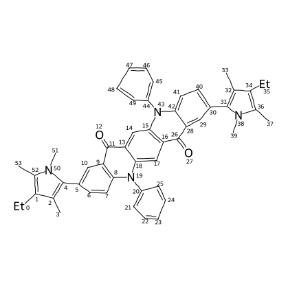 CCc1c(C)c(-c2ccc3c(c2)c(=O)c2cc4c(cc2n3-c2ccccc2)c(=O)c2cc(-c3c(C)c(CC)c(C)n3C)ccc2n4-c2ccccc2)n(C)c1C